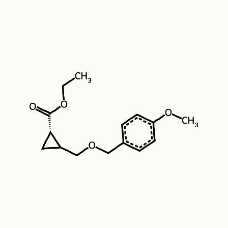 CCOC(=O)[C@H]1CC1COCc1ccc(OC)cc1